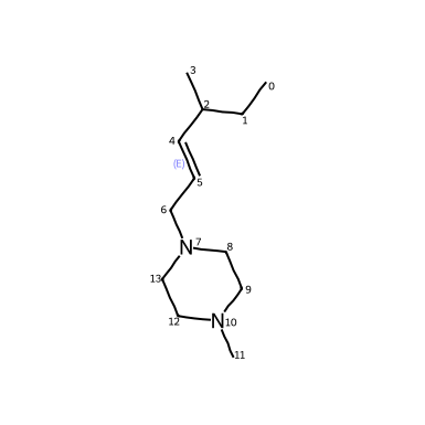 CCC(C)/C=C/CN1CCN(C)CC1